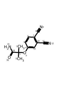 CC(C)(Oc1ccc(C#N)c(C#N)c1)C(N)=O